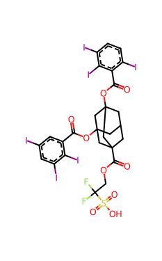 O=C(OC12CC3CC(OC(=O)c4c(I)ccc(I)c4I)(C1)CC(C(=O)OCC(F)(F)S(=O)(=O)O)(C3)C2)c1cc(I)cc(I)c1I